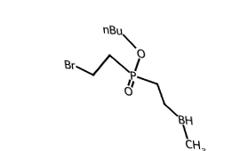 CBCCP(=O)(CCBr)OCCCC